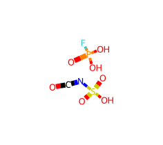 O=C=NS(=O)(=O)O.O=P(O)(O)F